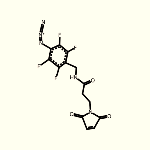 [N-]=[N+]=Nc1c(F)c(F)c(CNC(=O)CCN2C(=O)C=CC2=O)c(F)c1F